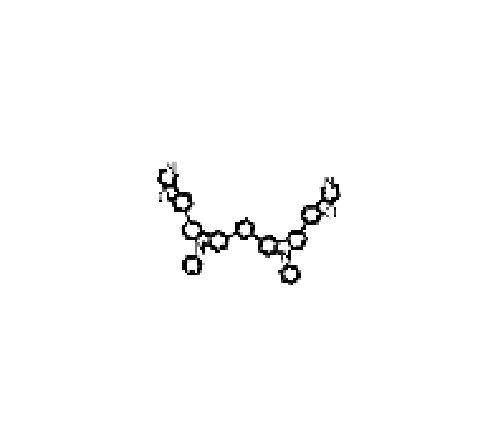 C1=CC2C(C=C1c1ccc3c(c1)oc1ccncc13)c1cc(-c3cccc(-c4ccc5c(c4)c4c(n5-c5ccccc5)CCC(c5ccc6c(c5)oc5ccncc56)=C4)c3)ccc1N2c1ccccc1